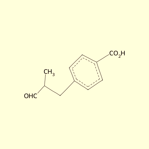 CC(C=O)Cc1ccc(C(=O)O)cc1